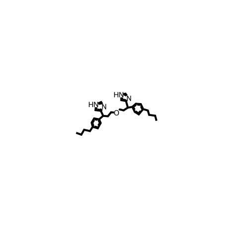 CCCCc1ccc(C(CCOCCC(c2ccc(CCCC)cc2)c2c[nH]cn2)c2c[nH]cn2)cc1